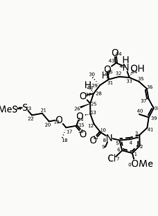 COc1cc2cc(c1Cl)N(C)C(=O)C[C@H](OC(=O)[C@H](C)OCCCSSC)[C@]1(C)O[C@H]1[C@H](C)[C@@H]1C[C@](O)(C/C=C/C=C(\C)C2)NC(=O)O1